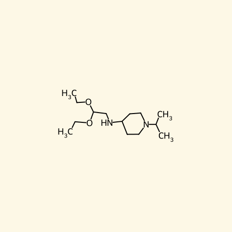 CCOC(CNC1CCN(C(C)C)CC1)OCC